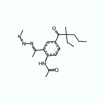 CCCC(C)(CC)C(=O)c1ccc(NC(C)=O)c(/C(C)=N/N=N\C)c1